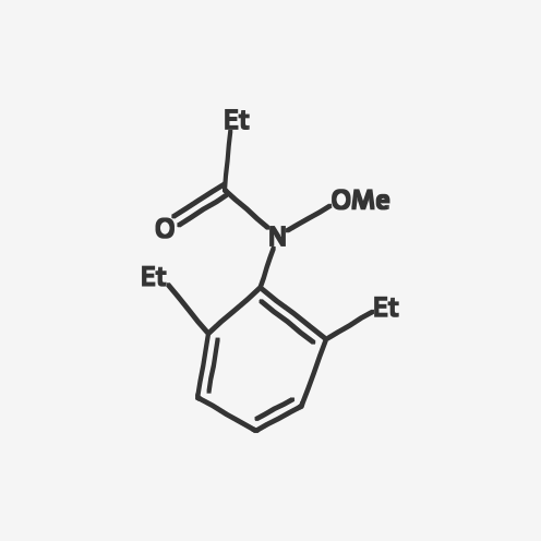 CCC(=O)N(OC)c1c(CC)cccc1CC